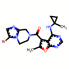 Cc1oc2ncnc(NC3(C)CC3)c2c1C(=O)N1CCn2c(Br)cnc2C1